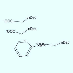 CCCCCCCCCCCC(=O)[O-].CCCCCCCCCCCC(=O)[O-].CCCCCCCCCCCC(=O)[O-].[Sn+3][c]1ccccc1